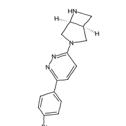 Brc1ccc(-c2ccc(N3C[C@@H]4CN[C@@H]4C3)nn2)cc1